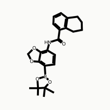 CC1(C)OB(c2ccc(NC(=O)c3cccc4c3CCCC4)c3c2OCO3)OC1(C)C